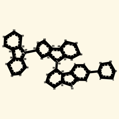 c1ccc(-c2ccc3c(c2)sc2cccc(-n4c5ccccc5c5ccc(-n6c7ccccc7c7ccccc76)cc54)c23)cc1